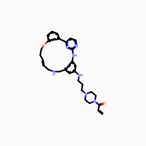 C=CC(=O)N1CCN(CCCNc2cc3cc(c2)Nc2nccc(n2)-c2cccc(c2)OCC/C=C/CNC3)CC1